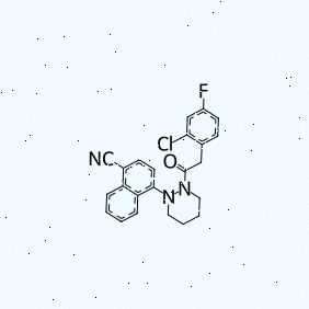 N#Cc1ccc(N2CCCCN2C(=O)Cc2ccc(F)cc2Cl)c2ccccc12